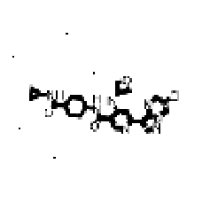 O=C(NC1CCC(C(=O)NC2CC2)CC1)c1cnc(-c2cnn3cc(Cl)cnc23)cc1NC1COC1